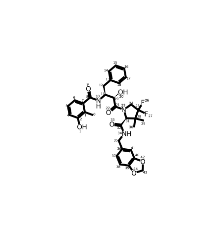 Cc1c(O)cccc1C(=O)N[C@@H](Cc1ccccc1)[C@H](O)C(=O)N1CC(F)(F)C(C)(C)[C@H]1C(=O)NCc1ccc2c(c1)OCO2